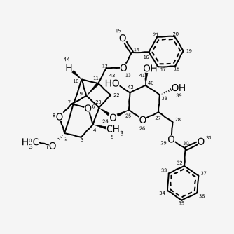 CO[C@]12C[C@]3(C)OC(O1)[C@@]14[C@H]2C1(COC(=O)c1ccccc1)C[C@]34O[C@@H]1OC(COC(=O)c2ccccc2)[C@@H](O)[C@H](O)C1O